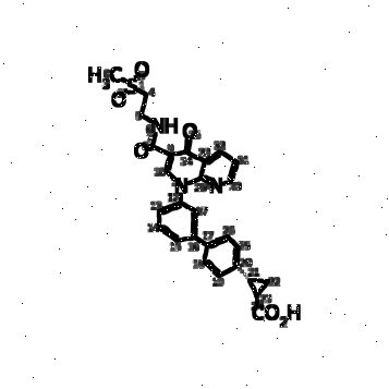 CS(=O)(=O)CCNC(=O)c1cn(-c2cccc(-c3ccc([C@@H]4C[C@H]4C(=O)O)cc3)c2)c2ncccc2c1=O